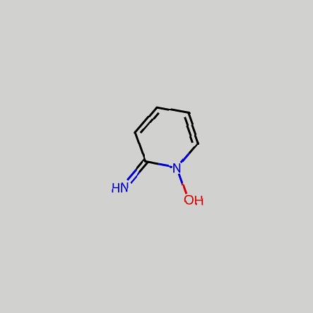 N=c1ccccn1O